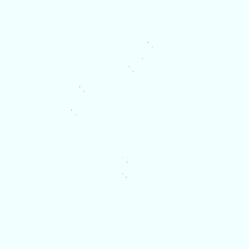 [Br-].[N-]=[N+]=NCCC[n+]1ccn(Cc2ccc(N=Nc3ccccc3)cc2)c1